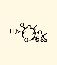 CCC(C)(C)O[C@H]1[C@H](C)OC(=O)[C@@H](N)COC[C@@H]1OCC(C)C